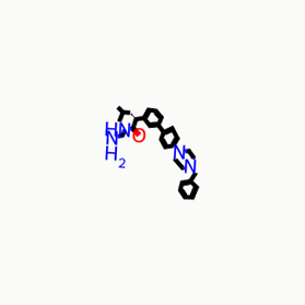 CC(C)C[C@@H](C(=O)NCN)c1cccc(-c2ccc(N3CCN(Cc4ccccc4)CC3)cc2)c1